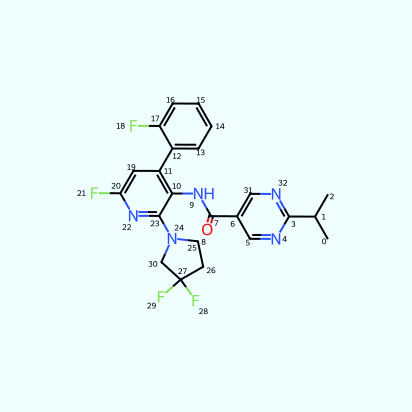 CC(C)c1ncc(C(=O)Nc2c(-c3ccccc3F)cc(F)nc2N2CCC(F)(F)C2)cn1